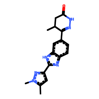 Cc1cc(-c2nc3ccc(C4=NNC(=O)CC4C)cc3[nH]2)nn1C